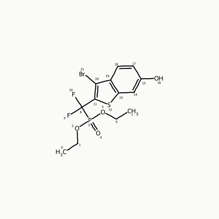 CCOP(=O)(OCC)C(F)(F)c1sc2cc(O)ccc2c1Br